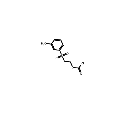 Cc1cccc(S(=O)(=O)CCOC(=O)Cl)c1